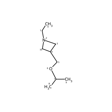 CCN1CC(COC(C)C)C1